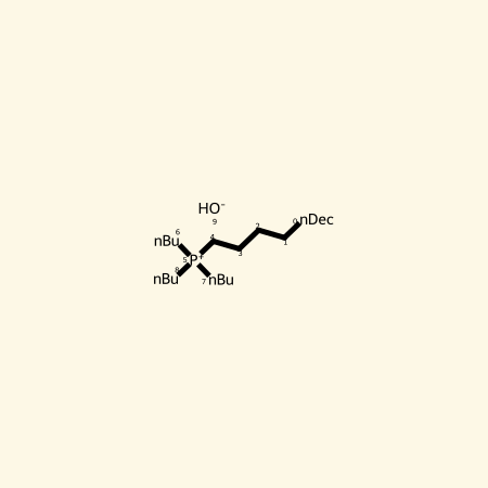 CCCCCCCCCCCCCC[P+](CCCC)(CCCC)CCCC.[OH-]